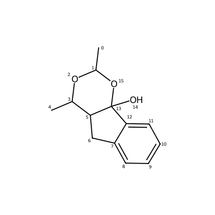 CC1OC(C)C2Cc3ccccc3C2(O)O1